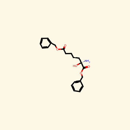 N[C@](O)(CCCCC(=O)OCc1ccccc1)C(=O)OCc1ccccc1